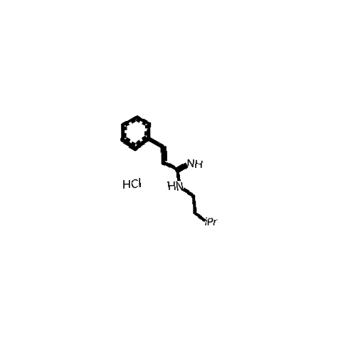 CC(C)CCNC(=N)/C=C/c1ccccc1.Cl